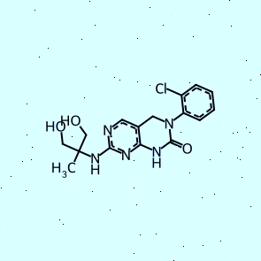 CC(CO)(CO)Nc1ncc2c(n1)NC(=O)N(c1ccccc1Cl)C2